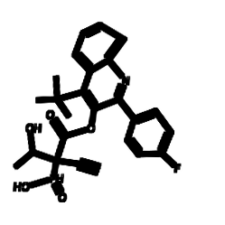 C#CC(C(=O)Oc1c(-c2ccc(F)cc2)nc2ccccc2c1C(C)(C)C)(C(C)O)[PH](=O)O